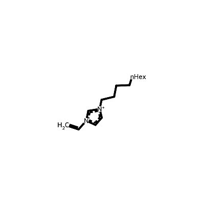 C=Cn1cc[n+](CCCCCCCCCC)c1